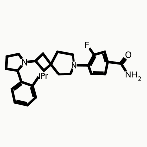 CC(C)c1ccccc1C1CCCN1C1CC2(CCN(c3ccc(C(N)=O)cc3F)CC2)C1